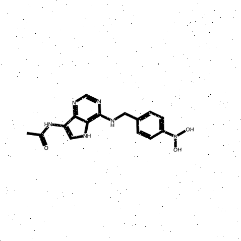 CC(=O)Nc1c[nH]c2c(NCc3ccc(B(O)O)cc3)ncnc12